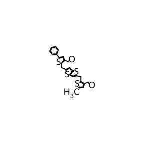 Cc1cc(C=O)c(Cc2cc3sc(Cc4sc(-c5ccccc5)cc4C=O)cc3s2)s1